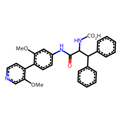 COc1cnccc1-c1ccc(NC(=O)C(NC(=O)O)C(c2ccccc2)c2ccccc2)cc1OC